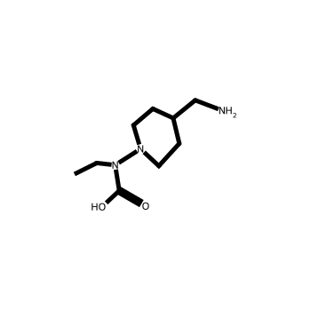 CCN(C(=O)O)N1CCC(CN)CC1